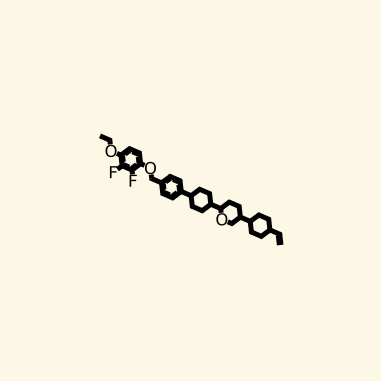 C=CC1CCC(C2CCC(C3CCC(c4ccc(COc5ccc(OCC)c(F)c5F)cc4)CC3)OC2)CC1